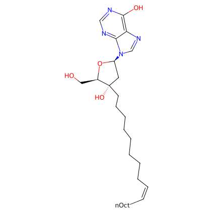 CCCCCCCC/C=C\CCCCCCCC[C@]1(O)C[C@H](n2cnc3c(O)ncnc32)O[C@@H]1CO